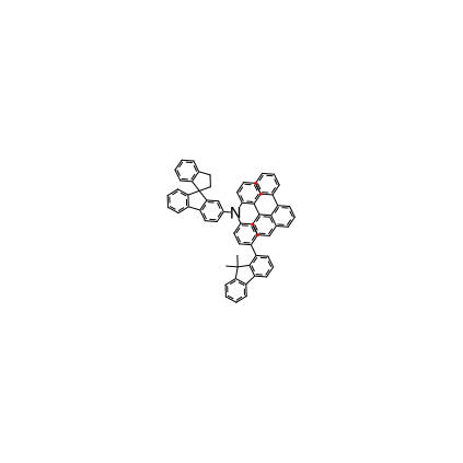 CC1(C)c2ccccc2-c2cccc(-c3ccc(N(c4ccc5c(c4)C4(CCc6ccccc64)c4ccccc4-5)c4ccccc4-c4cccc5cccc(-c6ccccc6)c45)cc3)c21